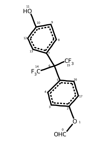 O=COc1ccc(C(c2ccc(O)cc2)(C(F)(F)F)C(F)(F)F)cc1